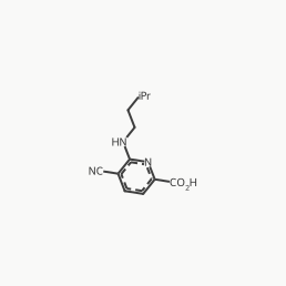 CC(C)CCNc1nc(C(=O)O)ccc1C#N